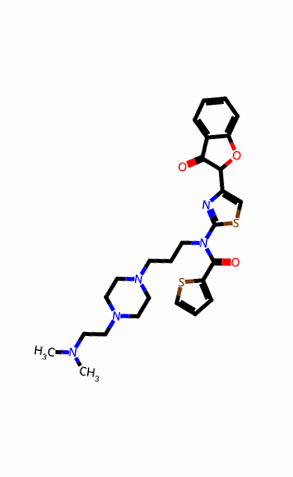 CN(C)CCN1CCN(CCCN(C(=O)c2cccs2)c2nc(C3Oc4ccccc4C3=O)cs2)CC1